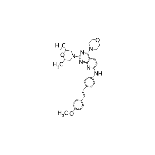 COc1ccc(/C=C/c2ccc(Nc3ccc4c(N5CCOCC5)nc(N5CC(C)OC(C)C5)nc4n3)cc2)cc1